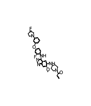 C=CC(=O)N1CCC(Nc2cc3c(Nc4ccc(Oc5cccc(N6CC[C@H](F)C6)c5)cc4F)ncnc3cc2OC)CC1